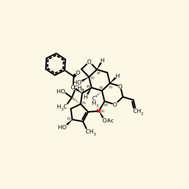 C=CC1O[C@H]2C[C@H]3OC[C@@]3(O)[C@H]3[C@H](OC(=O)c4ccccc4)[C@]4(C(C)(C)O)C[C@H](O)C(C)=C4[C@H](OC(C)=O)[C@H](O1)[C@]23C